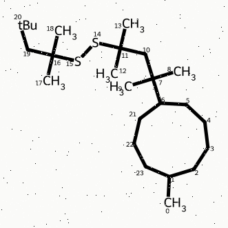 CC1CCCCC(C(C)(C)CC(C)(C)SSC(C)(C)CC(C)(C)C)CCC1